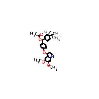 COc1cc2nccc(Oc3ccc(C(OC(C)=O)c4ccc(C(C)(C)C)cc4)cc3)c2cc1OC